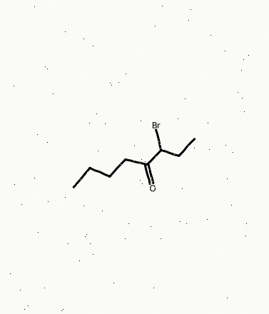 CCCCC(=O)C(Br)CC